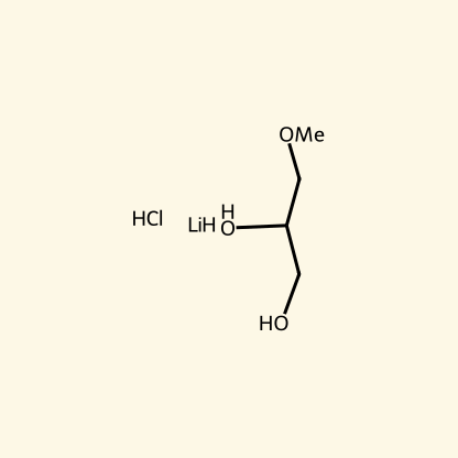 COCC(O)CO.Cl.[LiH]